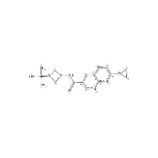 CC(C)(O)[C@H]1C[C@H](NC(=O)c2cnc3nc(C4CC4)ccc3c2)C1